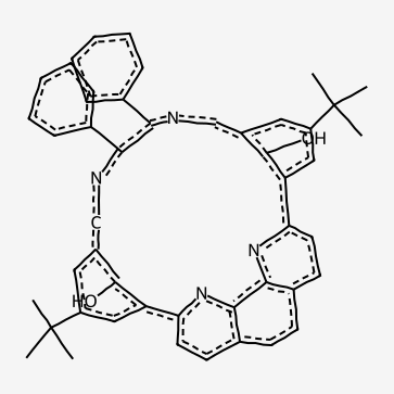 CC(C)(C)c1cc2cnc(-c3ccccc3)c(-c3ccccc3)ncc3cc(C(C)(C)C)cc(c3O)c3ccc4ccc5ccc(nc5c4n3)c(c1)c2O